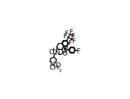 CN1CCC(C(=O)N2CC[C@]3(S(=O)(=O)c4ccc(F)cc4)c4ccc(C(F)(C(F)(F)F)C(F)(F)F)cc4CC[C@H]23)CC1=O